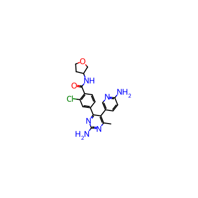 Cc1nc(N)nc(-c2ccc(C(=O)NC3CCOC3)c(Cl)c2)c1-c1ccc(N)nc1